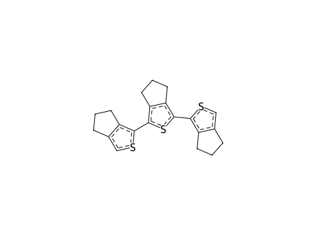 c1sc(-c2sc(-c3scc4c3CCC4)c3c2CCC3)c2c1CCC2